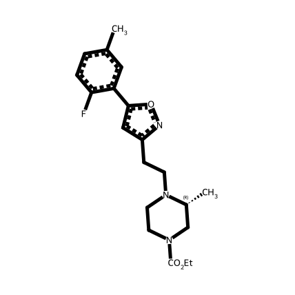 CCOC(=O)N1CCN(CCc2cc(-c3cc(C)ccc3F)on2)[C@H](C)C1